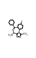 Cc1nnc2n1-c1ccc(I)cc1C(c1ccccc1)=NC2N